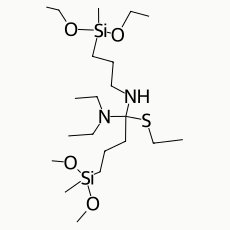 CCO[Si](C)(CCCNC(CCC[Si](C)(OC)OC)(SCC)N(CC)CC)OCC